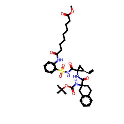 C=C[C@@H]1C[C@@]1(NC(=O)C1(NC(=O)OC(C)(C)C)CCc2ccccc2C1)C(=O)NS(=O)(=O)c1ccccc1NC(=O)CCCCCCCC(=O)OC